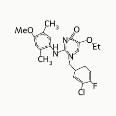 CCOc1cn(CC2C=C(Cl)C(F)=CC2)c(Nc2cc(C)c(OC)cc2C)nc1=O